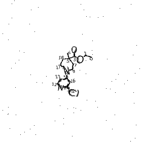 CCOC(=O)C1(C)CCN(c2ccnc(Cl)c2)CC1